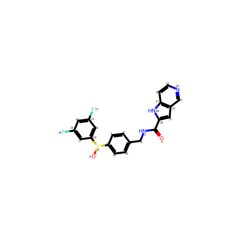 O=C(NCc1ccc([S+]([O-])c2cc(F)cc(F)c2)cc1)c1cc2cnccc2[nH]1